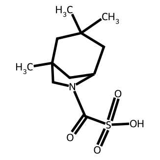 CC1(C)CC2CC(C)(CN2C(=O)S(=O)(=O)O)C1